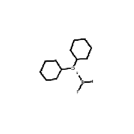 C1CCC(OC2CCCCC2)CC1.FB(F)F